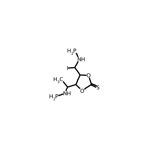 CC(NP)C1OC(=S)OC1C(I)NP